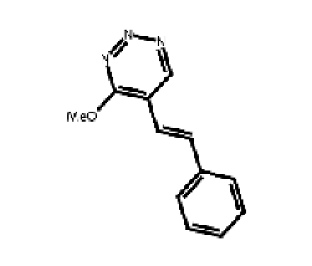 COc1nnncc1C=Cc1ccccc1